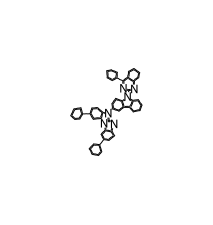 c1ccc(-c2ccc3nc4n(-c5ccc6c(c5)c5ccccc5n6-c5nc(-c6ccccc6)c6ccccc6n5)c5ccc(-c6ccccc6)cc5n4c3c2)cc1